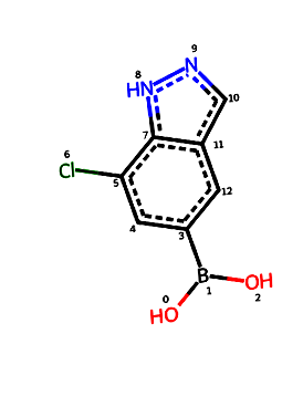 OB(O)c1cc(Cl)c2[nH]ncc2c1